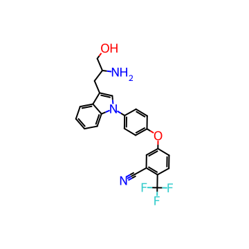 N#Cc1cc(Oc2ccc(-n3cc(CC(N)CO)c4ccccc43)cc2)ccc1C(F)(F)F